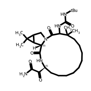 CC(C)(C)NC(=O)NC1C(=O)N2CC3C([C@H]2C(=O)N[C@H](C(=O)C(N)=O)CCCCCCCCCC1(C)C)C3(C)C